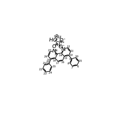 [O-][Cl+3]([O-])([O-])O.[Ru].c1ccc(-c2ccnc3c2ccc2c(-c4ccccc4)ccnc23)cc1